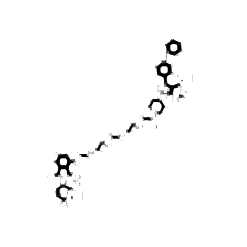 Nc1ncnc2c1c(-c1ccc(Oc3ccccc3)cc1)nn2C1CCN(C(=O)COCCOCCOCCOCCSc2cccc3c2C(=O)N(C2CCC(=O)NC2=O)C3=O)CC1